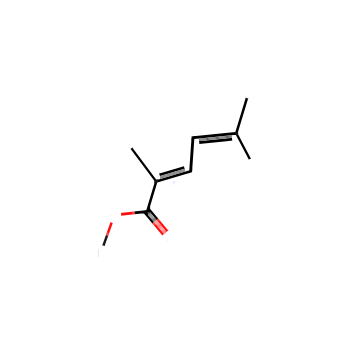 CCOC(=O)/C(C)=C/C=C(C)C